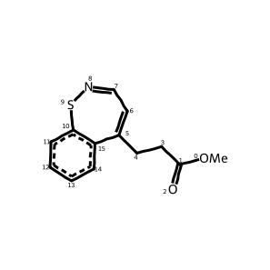 COC(=O)CCC1=CC=NSc2ccccc21